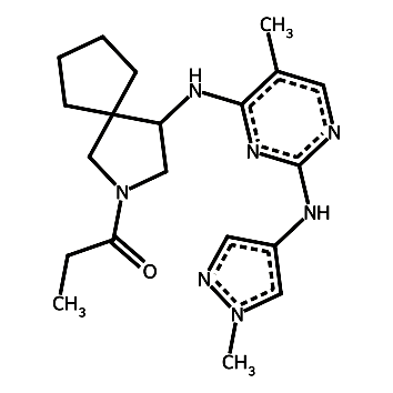 CCC(=O)N1CC(Nc2nc(Nc3cnn(C)c3)ncc2C)C2(CCCC2)C1